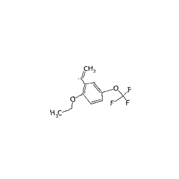 C=[C]c1cc(OC(F)(F)F)ccc1OCC